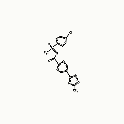 O=C(N=S(=O)(c1ccc(Cl)cc1)C(F)(F)F)c1ccc(-c2noc(C(F)(F)F)n2)cc1